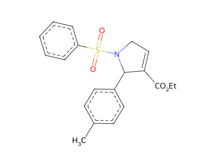 CCOC(=O)C1=CCN(S(=O)(=O)c2ccccc2)C1c1ccc(C)cc1